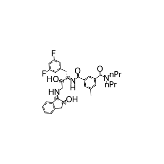 CCCN(CCC)C(=O)c1cc(C)cc(C(=O)N[C@@H](Cc2cc(F)cc(F)c2)[C@H](O)CN[C@@H]2c3ccccc3C[C@@H]2O)c1